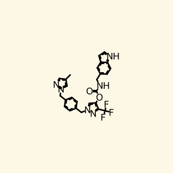 Cc1cnn(Cc2ccc(Cn3cc(OC(=O)NCc4ccc5[nH]ccc5c4)c(C(F)(F)F)n3)cc2)c1